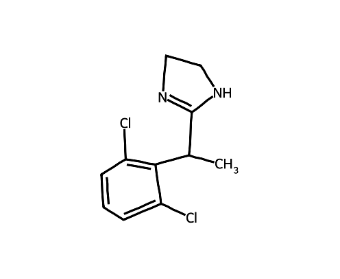 CC(C1=NCCN1)c1c(Cl)cccc1Cl